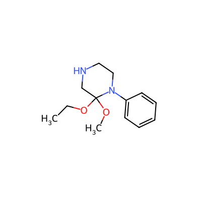 CCOC1(OC)CNCCN1c1ccccc1